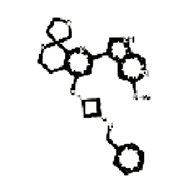 CC(=O)Nc1cc2c(-c3cc(O[C@H]4C[C@@H](OCc5ccccc5)C4)c4c(n3)C3(CCOC3)OCC4)c[nH]c2cn1